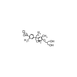 CCC(CC)(c1ccc(CCC2(O)CCC2)c(C)c1)c1ccc(OCC(CO)CO)c(C)c1